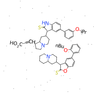 C#CC(=O)O.CC(C)Oc1cccc(-c2ccc3c(c2)C(C2CCN4CCCC4C2)C(=S)N3)c1.CCCCOc1ccccc1-c1ccc2c(c1)C(C1CCN3CCCCC3C1)C(=S)O2